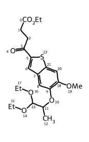 CCOC(=O)CCC(=O)c1cc2cc(OC(C)C(OCC)OCC)c(OC)cc2s1